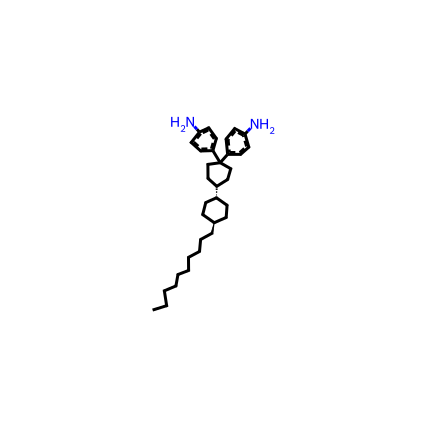 CCCCCCCCCC[C@H]1CC[C@H](C2CCC(c3ccc(N)cc3)(c3ccc(N)cc3)CC2)CC1